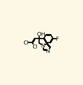 OC(C=C(Cl)Cl)(Cn1ccnc1)c1ccc(F)cc1